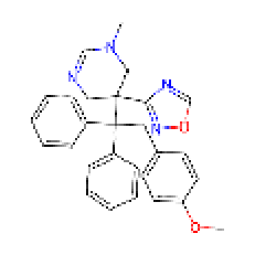 COc1ccc(CC(c2ccccc2)(c2ccccc2)C2(c3ncon3)CN=CN(C)C2)cc1